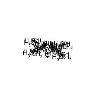 CC(C)(C)c1cc(CS[C@H]2CCCC[C@@H]2SCc2cc(C(C)(C)C)cc(-n3c4ccc(C(C)(C)C)cc4c4cc(C(C)(C)C)ccc43)c2O)c(O)c(-n2c3ccc(C(C)(C)C)cc3c3cc(C(C)(C)C)ccc32)c1